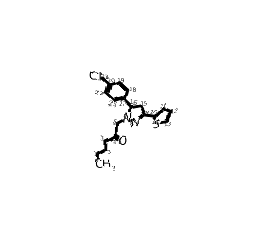 CCCCC(=O)CN1N=C(c2cccs2)CC1c1ccc(Cl)cc1